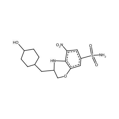 NS(=O)(=O)c1cc2c(c([N+](=O)[O-])c1)NC(CC1CCC(O)CC1)CO2